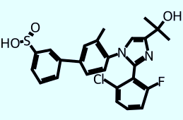 Cc1cc(-c2cccc(S(=O)O)c2)ccc1-n1cc(C(C)(C)O)nc1-c1c(F)cccc1Cl